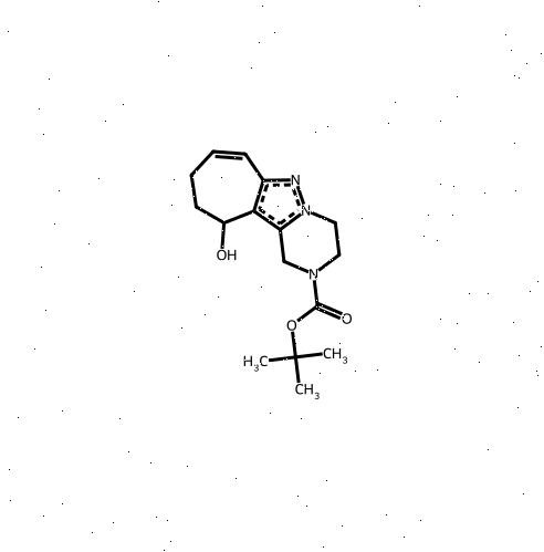 CC(C)(C)OC(=O)N1CCn2nc3c(c2C1)C(O)CCC=C3